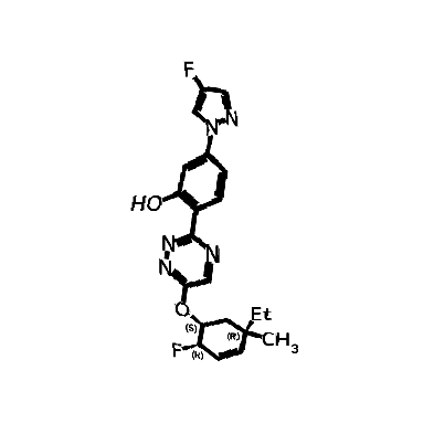 CC[C@@]1(C)C=C[C@@H](F)[C@@H](Oc2cnc(-c3ccc(-n4cc(F)cn4)cc3O)nn2)C1